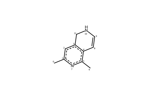 Cc1cc2c(c(C)n1)C=CNC2